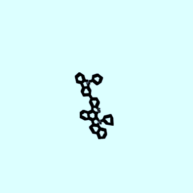 c1ccc(-n2c3ccccc3c3ccc(-c4ccc5sc6c(c5c4)c4ccccc4c4c5ccc7ccccc7c5n(-c5ccccc5)c64)cc32)cc1